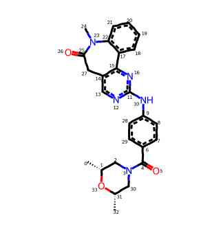 C[C@@H]1CN(C(=O)c2ccc(Nc3ncc4c(n3)-c3ccccc3N(C)C(=O)C4)cc2)C[C@H](C)O1